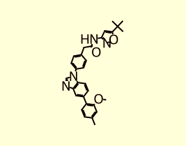 COc1cc(C)ccc1-c1ccc2c(c1)ncn2-c1ccc(CC(=O)Nc2cc(C(C)(C)C)on2)cc1